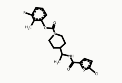 Cc1c(F)cccc1OC(=O)N1CCC(C(C)NC(=O)c2ccc(Cl)s2)CC1